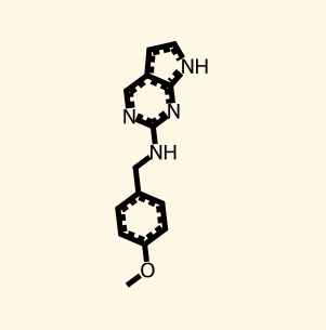 COc1ccc(CNc2ncc3cc[nH]c3n2)cc1